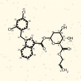 C=CCOC(=O)[C@H]1OC(OC(=O)c2nn(Cc3ccc(Cl)cc3Cl)c3ccccc23)C[C@@H](O)[C@@H]1O